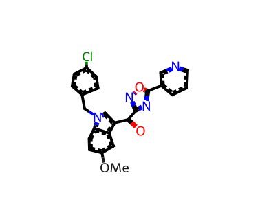 COc1ccc2c(c1)c(C(=O)c1noc(-c3cccnc3)n1)cn2Cc1ccc(Cl)cc1